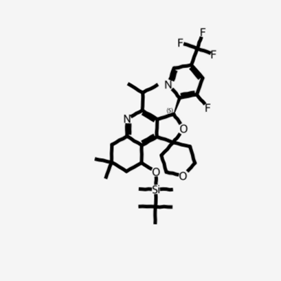 CC(C)c1nc2c(c3c1[C@@H](c1ncc(C(F)(F)F)cc1F)OC31CCOCC1)C(O[Si](C)(C)C(C)(C)C)CC(C)(C)C2